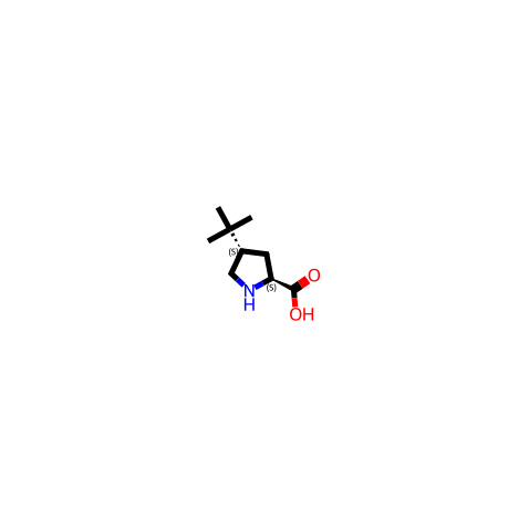 CC(C)(C)[C@H]1CN[C@H](C(=O)O)C1